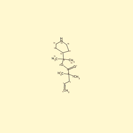 C=CCC(C)(C)C(=O)OC(C)(C)C1CCNCC1